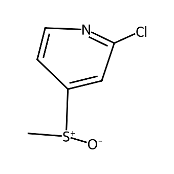 C[S+]([O-])c1ccnc(Cl)c1